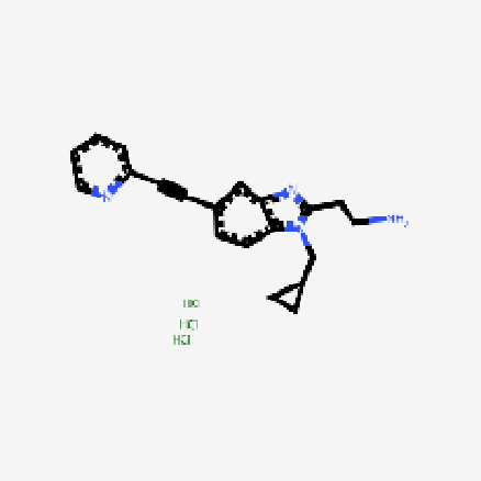 Cl.Cl.Cl.NCCc1nc2cc(C#Cc3ccccn3)ccc2n1CC1CC1